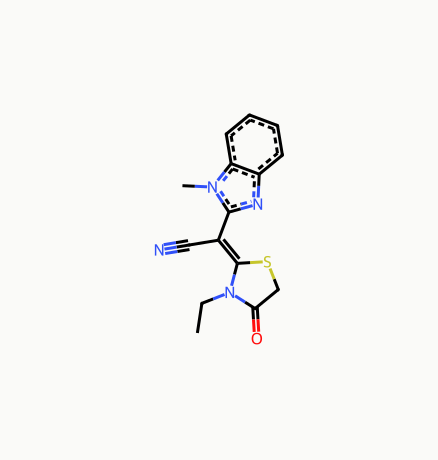 CCN1C(=O)CS/C1=C(/C#N)c1nc2ccccc2n1C